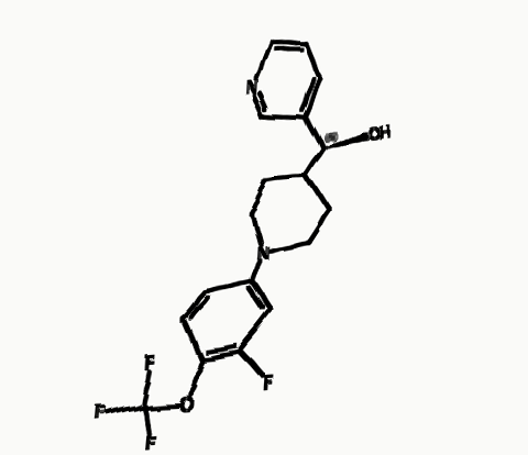 O[C@H](c1cccnc1)C1CCN(c2ccc(OC(F)(F)F)c(F)c2)CC1